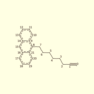 [C]#CCCCCCCc1c2ccccc2cc2ccccc12